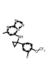 Cc1cc(NC2(c3ccc(OC(F)(F)F)c(F)c3)CC2)n2ncnc2n1